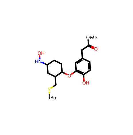 COC(=O)Cc1ccc(O)c(OC2CCC(NO)CC2CSC(C)(C)C)c1